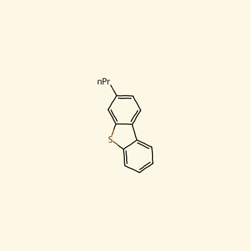 CCCc1ccc2c(c1)sc1ccccc12